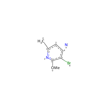 COc1nc(C)ccc1Br.[N]